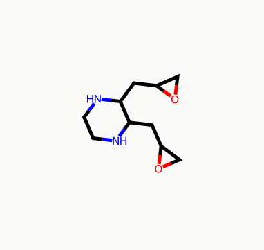 C1CNC(CC2CO2)C(CC2CO2)N1